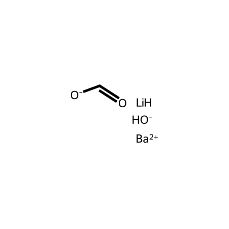 O=C[O-].[Ba+2].[LiH].[OH-]